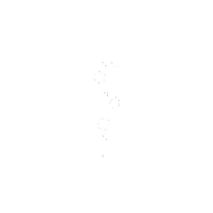 O=C1OCCN1c1ccc2c(c1)CN(c1ncc(Cc3cccc(N4CCS(=O)(=O)CC4)c3)s1)CC2